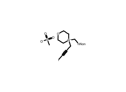 CCCCCCCCCC[N+]1(CC#CI)CCOCC1.CS(=O)(=O)[O-]